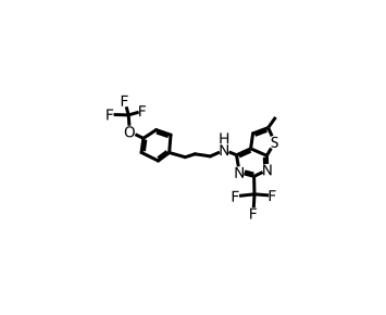 Cc1cc2c(NCCCc3ccc(OC(F)(F)F)cc3)nc(C(F)(F)F)nc2s1